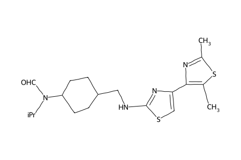 Cc1nc(-c2csc(NCC3CCC(N(C=O)C(C)C)CC3)n2)c(C)s1